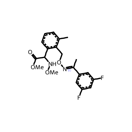 CONC(C(=O)OC)c1cccc(C)c1CO/N=C(\C)c1cc(F)cc(F)c1